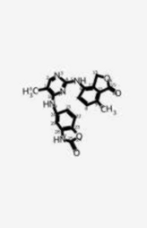 Cc1cnc(Nc2ccc(C)c3c2COC3=O)nc1Nc1ccc2oc(=O)[nH]c2c1